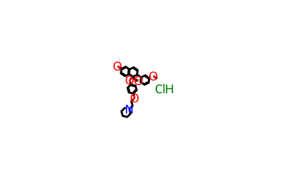 COc1cccc(C2C=Cc3cc(OC)ccc3C2(C=O)Oc2ccc(OCCN3CCCCC3)cc2)c1.Cl